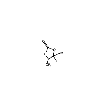 CCC1(F)OC(=O)OC1C(F)(F)F